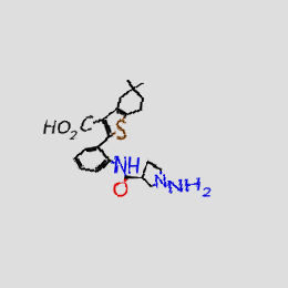 CC1(C)CCc2sc(-c3ccccc3NC(=O)[C@H]3CCN(N)C3)c(C(=O)O)c2C1